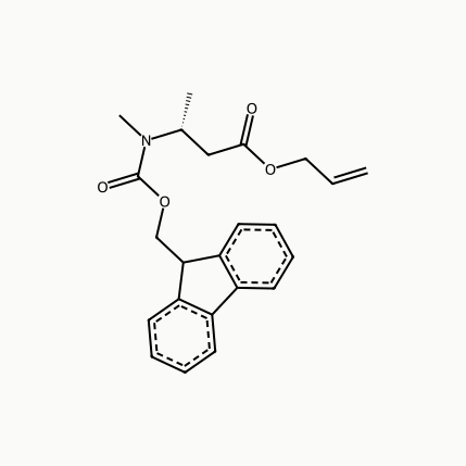 C=CCOC(=O)C[C@@H](C)N(C)C(=O)OCC1c2ccccc2-c2ccccc21